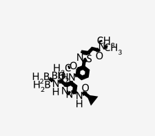 BC(B)(B)NC(=O)c1nnc(NC(=O)C2CC2)cc1Nc1cccc(-c2ncc(CC(=O)N(C)C)s2)c1OC